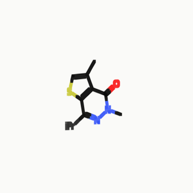 Cc1csc2c(C(C)C)nn(C)c(=O)c12